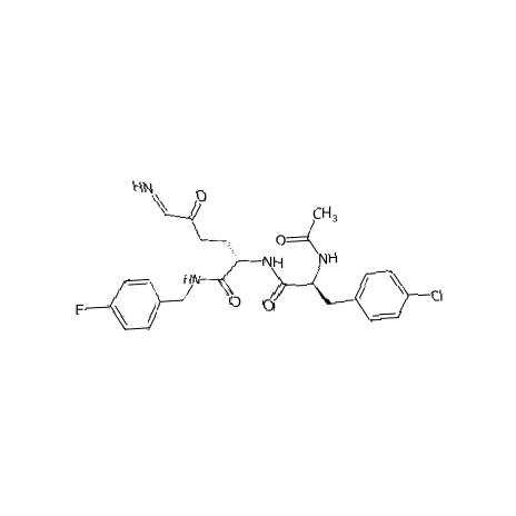 CC(=O)N[C@@H](Cc1ccc(Cl)cc1)C(=O)N[C@@H](CCC(=O)C=N)C(=O)NCc1ccc(F)cc1